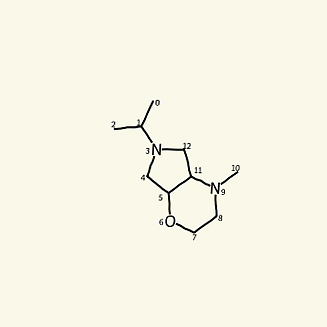 CC(C)N1CC2OCCN(C)C2C1